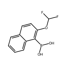 OB(O)c1c(OC(F)F)ccc2ccccc12